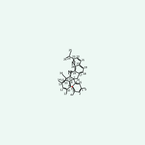 Cc1cc(C)cc(C2(c3cc(C)cc(C)c3)Cc3ccc4ccc(C(C)C)nc4c3N=C2C(C)C)c1